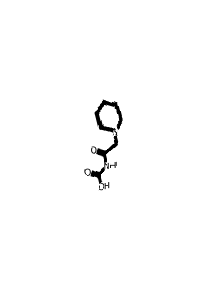 O=C(O)NC(=O)CN1CCCCC1